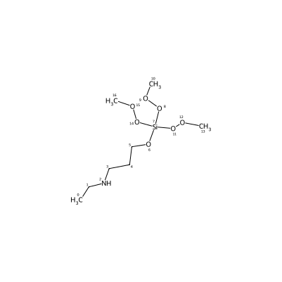 CCNCCCO[Si](OOC)(OOC)OOC